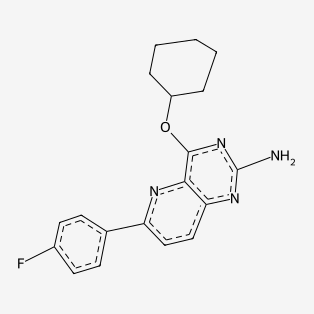 Nc1nc(OC2CCCCC2)c2nc(-c3ccc(F)cc3)ccc2n1